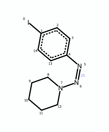 Ic1ccc(/N=N\N2CCCCC2)cc1